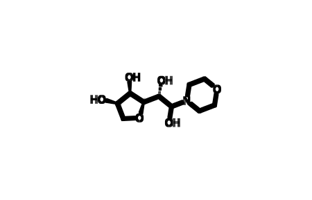 OC([C@@H](O)[C@H]1OC[C@@H](O)[C@H]1O)N1CCOCC1